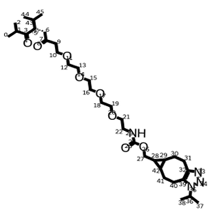 CC(C)C(=O)[C@@H](CC(=O)CCOCCOCCOCCOCCNC(=O)OCC1C2CCc3nnn(C(C)C)c3CCC21)C(C)C